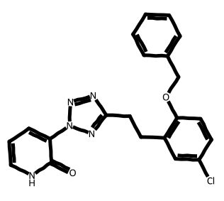 O=c1[nH]cccc1-n1nnc(CCc2cc(Cl)ccc2OCc2ccccc2)n1